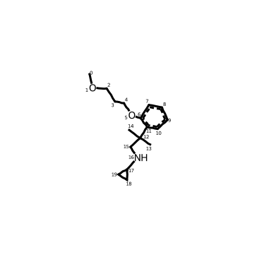 COCCCOc1ccccc1C(C)(C)CNC1CC1